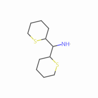 [NH]C(C1CCCCS1)C1CCCCS1